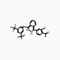 CC(=O)c1ccc(C2=c3ccccc3=C(Nc3cc(C(F)(F)F)cc(C(F)(F)F)c3)NN2)cc1F